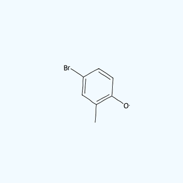 Cc1cc(Br)ccc1[O]